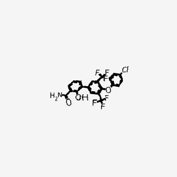 NC(=O)c1cccc(-c2cc(C(F)(F)F)c(Oc3ccc(Cl)cc3)c(C(F)(F)F)c2)c1O